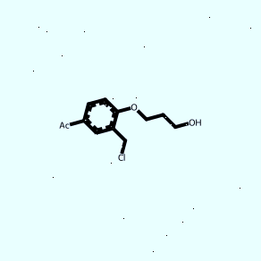 CC(=O)c1ccc(OCCCO)c(CCl)c1